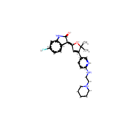 CC1(C)OC(=C2C(=O)Nc3cc(F)ccc32)C=C1c1ccc(NCCN2CCCCC2)nc1